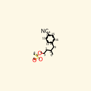 CC(CCOS(C)(=O)=O)Cc1ccc(C#N)cc1